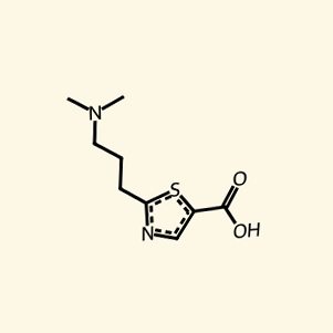 CN(C)CCCc1ncc(C(=O)O)s1